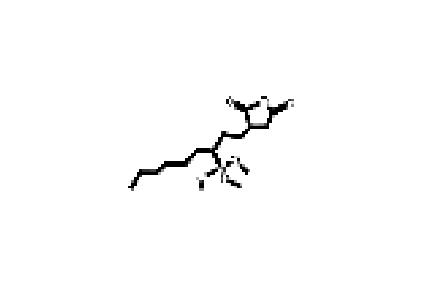 CCCCCCC(CCC1CC(=O)OC1=O)[Si](OC)(OC)OC